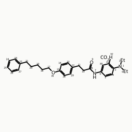 CCN(CC)c1ccc(NC(=O)CCc2ccc(OCCCCCc3ccccc3)cc2)cc1C(=O)O